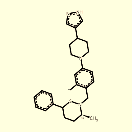 C[C@H]1CCC(c2ccccc2)SN1Cc1ccc(N2CCC(c3cn[nH]c3)CC2)cc1F